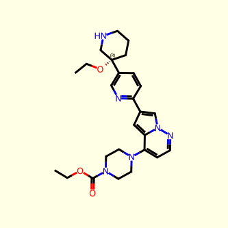 CCOC(=O)N1CCN(c2ccnn3cc(-c4ccc([C@]5(OCC)CCCNC5)cn4)cc23)CC1